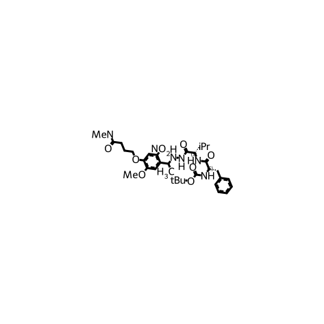 CNC(=O)CCCOc1cc([N+](=O)[O-])c(C(C)NNC(=O)[C@@H](NC(=O)[C@H](Cc2ccccc2)NC(=O)OC(C)(C)C)C(C)C)cc1OC